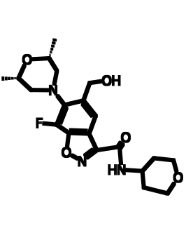 C[C@@H]1CN(c2c(CO)cc3c(C(=O)NC4CCOCC4)noc3c2F)C[C@H](C)O1